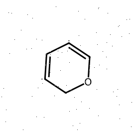 [C]1=C[C]=COC1